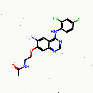 CC(=O)NCCOc1cc2ncnc(Nc3ccc(Cl)cc3Cl)c2cc1N